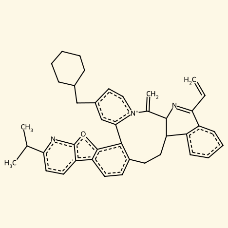 C=CC1=NC2C(=C)[n+]3ccc(CC4CCCCC4)cc3-c3c(ccc4c3oc3nc(C(C)C)ccc34)CCC2c2ccccc21